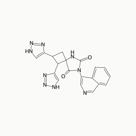 O=C1NC2(CC(c3c[nH]nn3)C2c2c[nH]nn2)C(=O)N1c1cncc2ccccc12